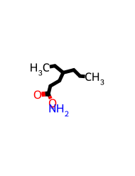 CCCC(CC)CCC(=O)ON